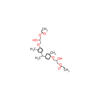 C=CC(=O)OCC(O)COc1ccc(C(C)c2ccc(OCC(O)COC(=O)C=C)c(C)c2)cc1C